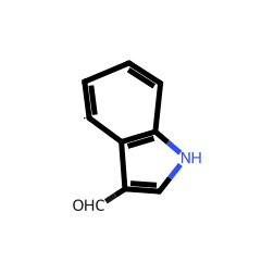 O=Cc1c[nH]c2ccc[c]c12